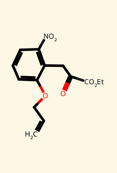 C=CCOc1cccc([N+](=O)[O-])c1CC(=O)C(=O)OCC